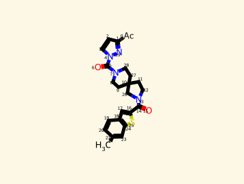 CC(=O)c1ccn(C(=O)N2CCC3(CCN(C(=O)c4cc5ccc(C)cc5s4)C3)CC2)n1